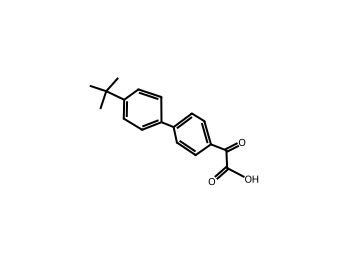 CC(C)(C)c1ccc(-c2ccc(C(=O)C(=O)O)cc2)cc1